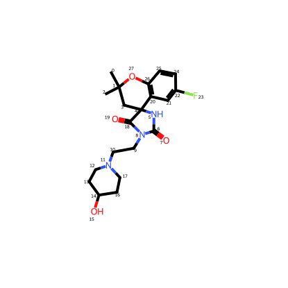 CC1(C)CC2(NC(=O)N(CCN3CCC(O)CC3)C2=O)c2cc(F)ccc2O1